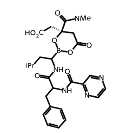 CNC(=O)[C@@]1(CC(=O)O)CC(=O)OB(C(CC(C)C)NC(=O)C(Cc2ccccc2)NC(=O)c2cnccn2)O1